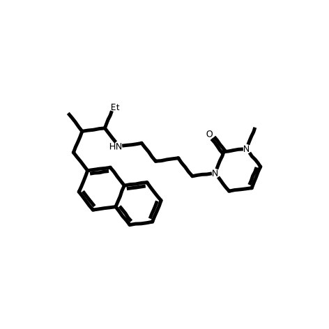 CCC(NCCCCN1CC=CN(C)C1=O)C(C)Cc1ccc2ccccc2c1